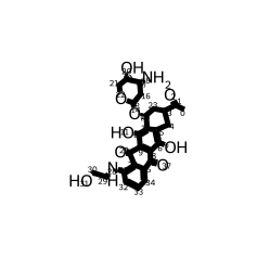 CC(=O)C1Cc2c(O)c3c(c(O)c2[C@@H](OC2C[C@H](N)[C@H](O)CO2)C1)C(=O)c1c(NCCO)cccc1C3=O